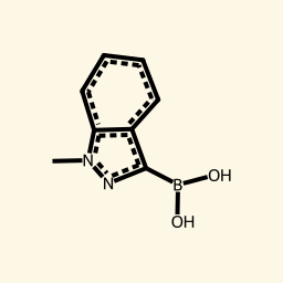 Cn1nc(B(O)O)c2ccccc21